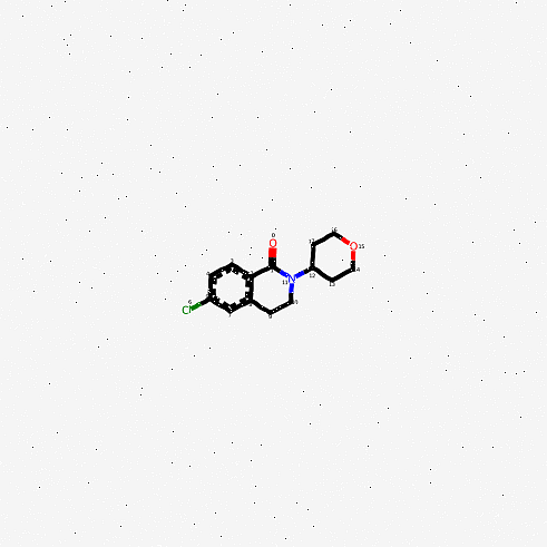 O=C1c2ccc(Cl)cc2CCN1C1CCOCC1